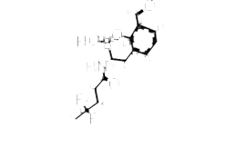 CC(F)(F)CCC(=O)N[C@H]1Cc2cccc([C]=O)c2OB1O